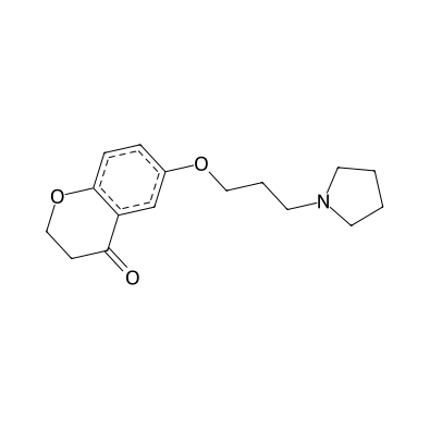 O=C1CCOc2ccc(OCCCN3CCCC3)cc21